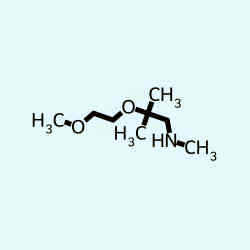 CNCC(C)(C)OCCOC